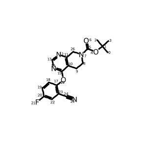 CC(C)(C)OC(=O)N1CCc2c(ncnc2Oc2ccc(F)cc2C#N)C1